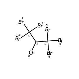 [O]C(C(Br)(Br)Br)C(Br)(Br)Br